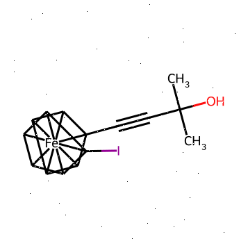 CC(C)(O)C#C[C]12[CH]3[CH]4[CH]5[CH]1[Fe]45321678[CH]2[CH]1[CH]6[C]7(I)[CH]28